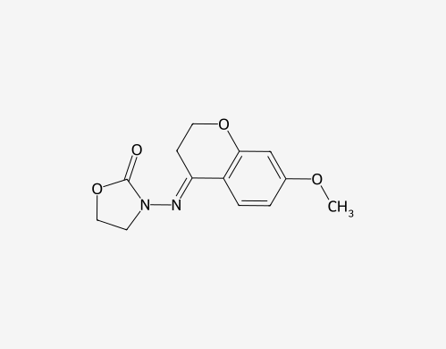 COc1ccc2c(c1)OCCC2=NN1CCOC1=O